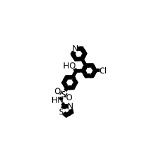 O=S(=O)(Nc1nccs1)c1ccc(C(O)c2ccc(Cl)cc2-c2ccncc2)cc1